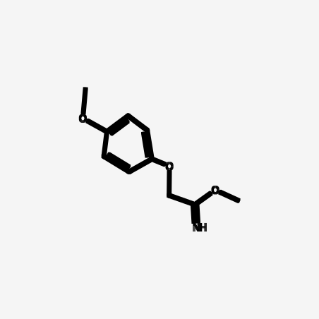 COC(=N)COc1ccc(OC)cc1